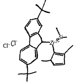 CC1=[C]([Zr+2]([CH]2c3cc(C(C)(C)C)ccc3-c3ccc(C(C)(C)C)cc32)=[Si](C)C)C(C)C=C1.[Cl-].[Cl-]